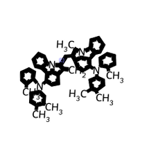 C=c1/c(=C\c2c(C)n3c4ccccc4c4c(N(c5ccc(C)c(C)c5)c5ccccc5C)ccc2c43)n2c3ccccc3c3c(N(c4ccc(C)c(C)c4)c4ccccc4C)ccc1c32